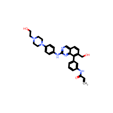 C=CC(=O)Nc1cccc(-c2c(CO)ccc3cnc(Nc4ccc(N5CCN(CCO)CC5)cc4)nc23)c1